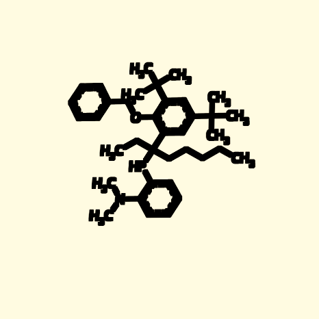 CCCCCC(CC)(Pc1ccccc1N(C)C)c1cc(C(C)(C)C)cc(C(C)(C)C)c1OCc1ccccc1